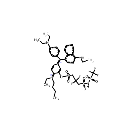 CCCC/[N+](CC)=C1C=C/C(=C(\c2ccc(N(CC)CC)cc2)c2ccc(NCC)c3ccccc23)C=C/1OS(=O)(=O)CC(F)(F)CS(=O)(=O)NS(=O)(=O)C(F)(F)F